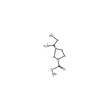 CC(C)(C)OC(=O)N1CC[C@H](C(N)CO)C1